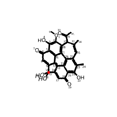 COc1c(O)c2c(=O)cc(CO)c3c4c(CO)cc(=O)c5c(O)c(C)c6c(c(c1C(C(C)=O)C(C)=C6)c23)c54